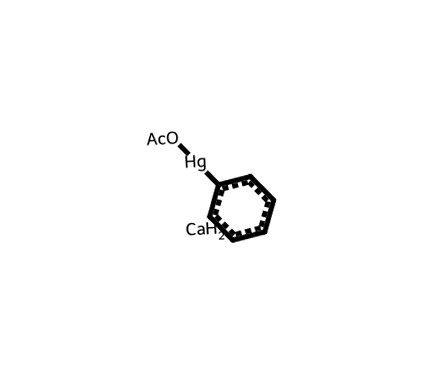 CC(=O)[O][Hg][c]1ccccc1.[CaH2]